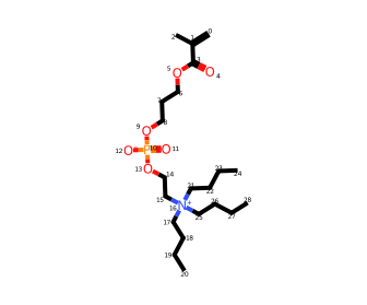 C=C(C)C(=O)OCCCOP(=O)([O-])OCC[N+](CCCC)(CCCC)CCCC